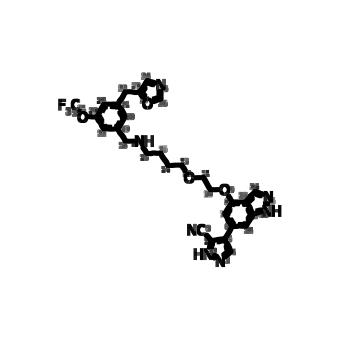 N#Cc1[nH]ncc1-c1cc(OCCOCCCCNCc2cc(Cc3cnco3)cc(OC(F)(F)F)c2)c2cn[nH]c2c1